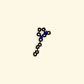 c1ccc(-c2cccc(N(c3ccc(-c4ccc5cc(-c6ccc7ccccc7c6)ccc5c4)cc3)c3ccc4c5ccccc5n(-c5ccccc5)c4c3)c2)cc1